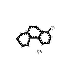 C.Cc1cccc2c1ccc1ccccc12